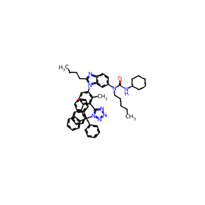 CCCCCN(C(=O)NC1CCCCC1)c1ccc2nc(CCCC)n(-c3ccc(-c4ccccc4)c(-c4nnnn4C(c4ccccc4)(c4ccccc4)c4ccccc4)c3C)c2c1